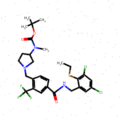 CCSc1c(Cl)cc(Cl)cc1CNC(=O)c1ccc(CN2CCC(N(C)C(=O)OC(C)(C)C)C2)c(C(F)(F)F)c1